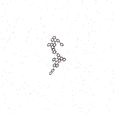 c1ccc(-c2ccc(N(c3ccc(-c4ccc5ccccc5c4)cc3)c3ccccc3-c3cc4ccccc4c4ccc(-c5ccc6ccc(-c7ccc(N(c8cc(-c9ccccc9)ccc8-c8ccccc8)c8ccccc8-c8cc9ccccc9c9ccccc89)cc7)cc6c5)cc34)c(-c3ccccc3)c2)cc1